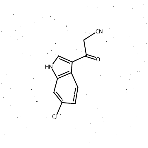 N#CCC(=O)c1c[nH]c2cc(Cl)ccc12